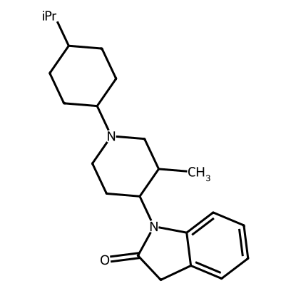 CC(C)C1CCC(N2CCC(N3C(=O)Cc4ccccc43)C(C)C2)CC1